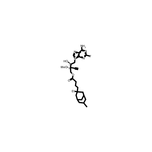 C#C[C@](COC(=O)CCCC1(CC)CC2CC(C)CC(C2)C1)(OC)[C@@H](O)Cn1cnc2c(N)nc(F)nc21